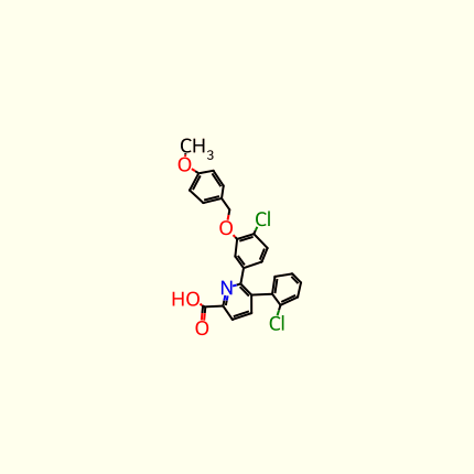 COc1ccc(COc2cc(-c3nc(C(=O)O)ccc3-c3ccccc3Cl)ccc2Cl)cc1